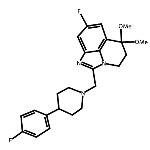 COC1(OC)CCn2c(CN3CCC(c4ccc(F)cc4)CC3)nc3cc(F)cc1c32